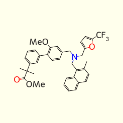 COC(=O)C(C)(C)c1cccc(-c2ccc(CN(Cc3ccc(C(F)(F)F)o3)Cc3c(C)ccc4ccccc34)cc2OC)c1